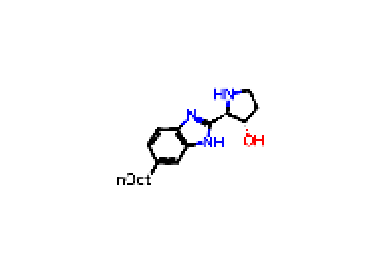 CCCCCCCCc1ccc2nc([C@H]3NCC[C@@H]3O)[nH]c2c1